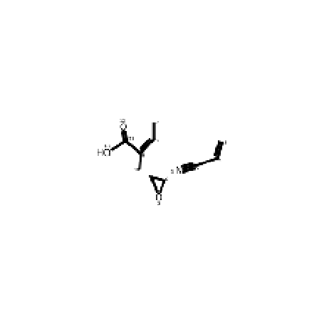 C1CO1.C=CC#N.CC=C(C)C(=O)O